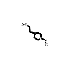 CCON1CCN(CCOC(C)=O)CC1